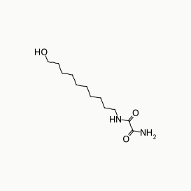 NC(=O)C(=O)NCCCCCCCCCCO